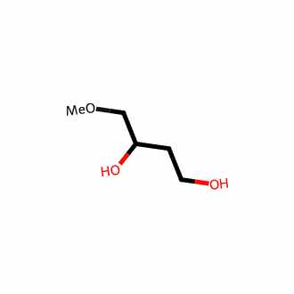 COCC(O)CCO